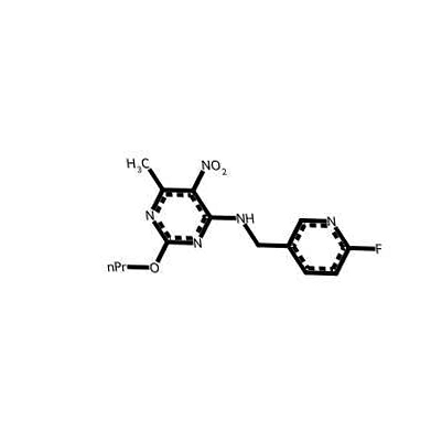 CCCOc1nc(C)c([N+](=O)[O-])c(NCc2ccc(F)nc2)n1